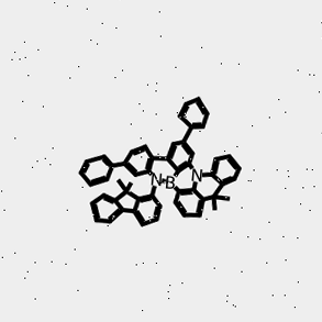 CC1(C)c2ccccc2N2c3cc(-c4ccccc4)cc4c3B(c3cccc1c32)N(c1cccc2c1C(C)(C)c1ccccc1-2)c1cc(-c2ccccc2)ccc1-4